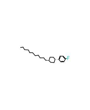 CCCCCCCCCCC[C@H]1CC[C@H](c2ccc(F)cc2)CC1